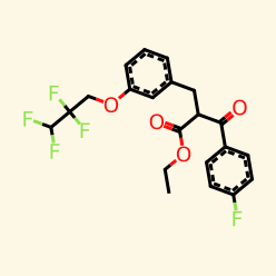 CCOC(=O)C(Cc1cccc(OCC(F)(F)C(F)F)c1)C(=O)c1ccc(F)cc1